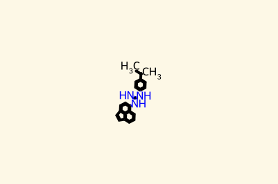 CCC(C)c1ccc(NC(=N)Nc2ccc3c4c(cccc24)C=C3)cc1